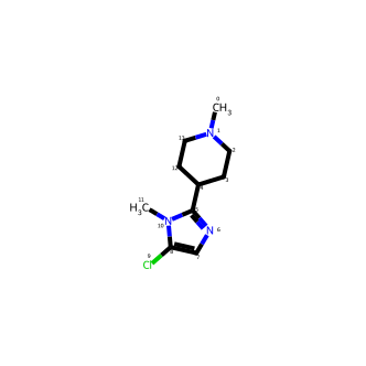 CN1CCC(c2ncc(Cl)n2C)CC1